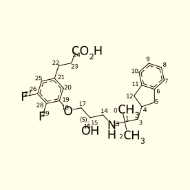 CC(C)(CC1Cc2ccccc2C1)NC[C@H](O)COc1cc(CCC(=O)O)cc(F)c1F